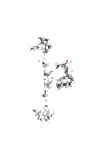 CC(=O)NC1C(OC(C)=O)[C@@H](OC(C)=O)C(COC(C)=O)O[C@H]1OCCCCC(=O)NCCCN(CCCN(CCCNC(=O)CCCCO[C@@H]1OC(COC(C)=O)[C@H](OC(C)=O)C(OC(C)=O)C1NC(C)=O)C(=O)CCCCC(=O)NCC(O)CO)C(=O)CCCCO[C@@H]1OC(COC(C)=O)[C@H](OC(C)=O)C(OC(C)=O)[C@@H]1NC(C)=O